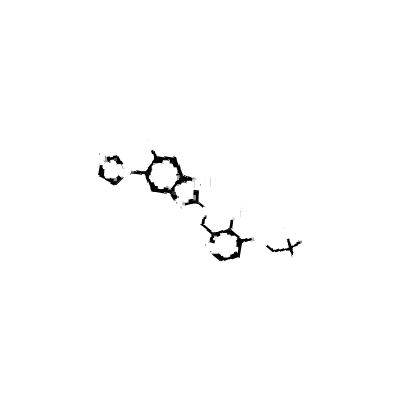 Cc1c(OCC(F)(F)F)ccnc1CSc1nc2cc(-n3ccnc3)c(F)cc2[nH]1